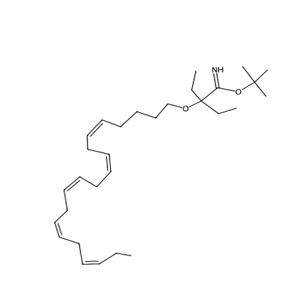 CC/C=C\C/C=C\C/C=C\C/C=C\C/C=C\CCCCOC(CC)(CC)C(=N)OC(C)(C)C